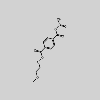 COCCOOC(=O)c1ccc(C(=O)O[Si](=O)O)cc1